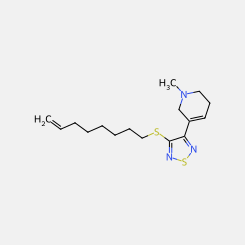 C=CCCCCCCSc1nsnc1C1=CCCN(C)C1